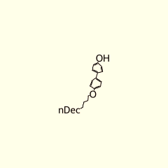 CCCCCCCCCCCCCCOc1ccc(-c2ccc(O)cc2)cc1